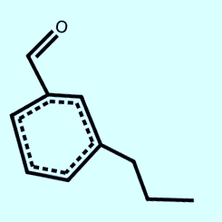 CCCc1cccc(C=O)c1